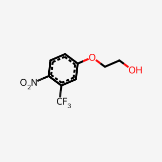 O=[N+]([O-])c1ccc(OCCO)cc1C(F)(F)F